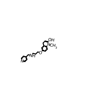 CN1C(O)=CCc2cc(OCCCNCc3ccncc3)ccc21